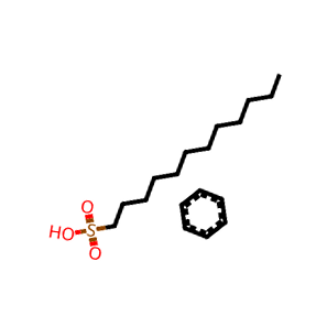 CCCCCCCCCCCCS(=O)(=O)O.c1ccccc1